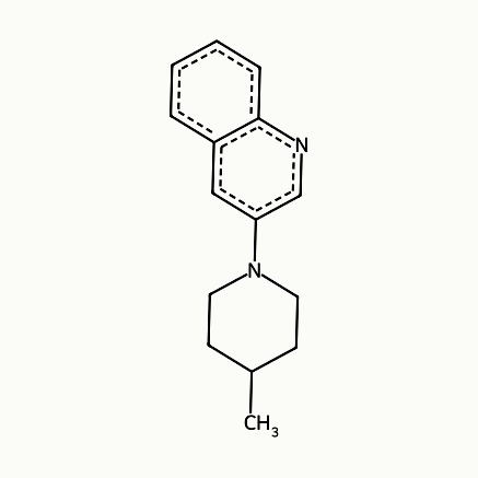 CC1CCN(c2cnc3ccccc3c2)CC1